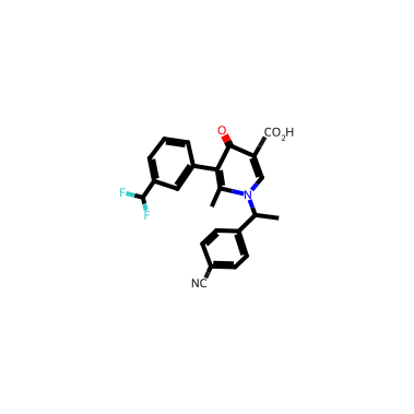 Cc1c(-c2cccc(C(F)F)c2)c(=O)c(C(=O)O)cn1C(C)c1ccc(C#N)cc1